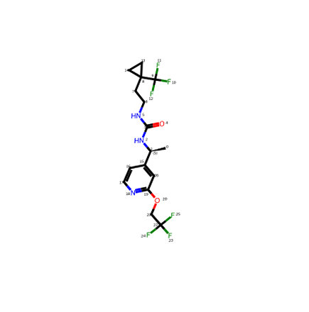 C[C@H](NC(=O)NCCC1(C(F)(F)F)CC1)c1ccnc(OCC(F)(F)F)c1